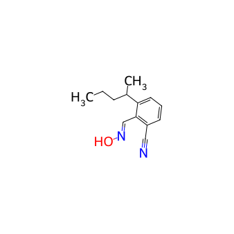 CCCC(C)c1cccc(C#N)c1/C=N/O